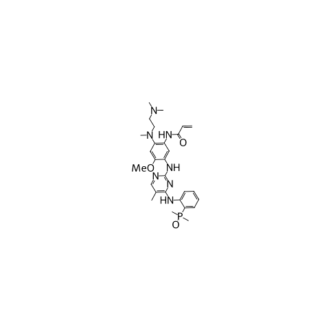 C=CC(=O)Nc1cc(Nc2ncc(C)c(Nc3ccccc3P(C)(C)=O)n2)c(OC)cc1N(C)CCN(C)C